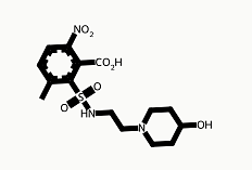 Cc1ccc([N+](=O)[O-])c(C(=O)O)c1S(=O)(=O)NCCN1CCC(O)CC1